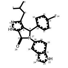 CC(C)Cc1n[nH]c2c1C(c1ccc(F)cc1)N(c1ccc3[nH]cnc3c1)C2=O